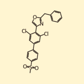 CS(=O)(=O)c1ccc(-c2cc(Cl)c(-c3coc(Cc4ccccc4)n3)c(Cl)c2)cc1